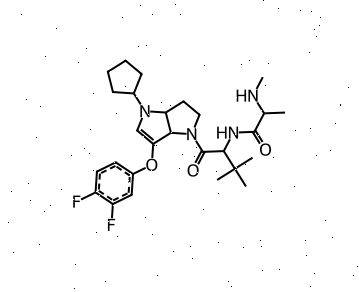 CNC(C)C(=O)NC(C(=O)N1CCC2C1C(Oc1ccc(F)c(F)c1)=CN2C1CCCC1)C(C)(C)C